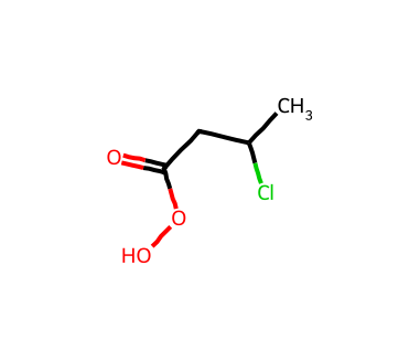 CC(Cl)CC(=O)OO